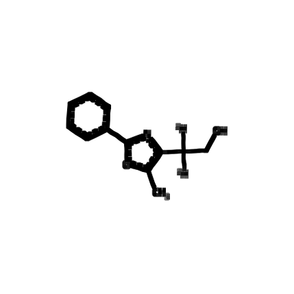 [2H]C([2H])(CO)c1nc(-c2ccccc2)oc1C